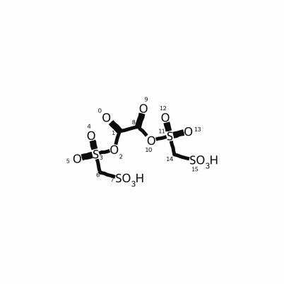 O=C(OS(=O)(=O)CS(=O)(=O)O)C(=O)OS(=O)(=O)CS(=O)(=O)O